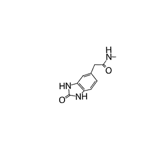 CNC(=O)Cc1ccc2[nH]c(=O)[nH]c2c1